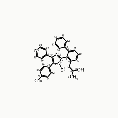 CCn1c(-c2c(CC(C)O)cccc2-c2ccccc2)nc(-c2ccncc2)c1-c1ccc(Cl)cc1